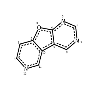 c1cc2oc3ncncc3c2cn1